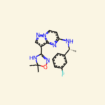 C[C@@H](Nc1ccn2ncc(C3=NOC(C)(C)N3)c2n1)c1cccc(F)c1